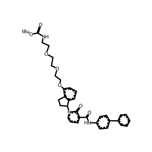 CC(C)(C)OC(=O)NCCOCCOCCOc1cccc2c1CCC2n1cccc(C(=O)Nc2ccc(-c3ccccc3)cc2)c1=O